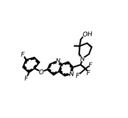 CC1(CO)CCCN(C(c2cc3ncc(Oc4ccc(F)cc4F)cc3cn2)C(F)(F)F)C1